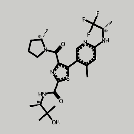 Cc1cc(N[C@@H](C)C(F)(F)F)ncc1-c1sc(C(=O)N[C@H](C)C(C)(C)O)nc1C(=O)N1CCC[C@@H]1C